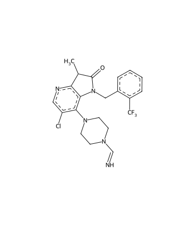 CC1C(=O)N(Cc2ccccc2C(F)(F)F)c2c1ncc(Cl)c2N1CCN(C=N)CC1